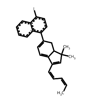 C/C=C\C=C/C1=CC(C)(C)C2CC(c3ccc(I)c4ccccc34)=CC=C12